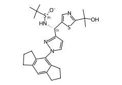 CC(C)(O)c1ncc([C@@H](N[S@@+]([O-])C(C)(C)C)c2ccn(-c3c4c(cc5c3CCC5)CCC4)n2)s1